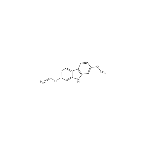 C=COc1ccc2c(c1)[nH]c1cc(OC)ccc12